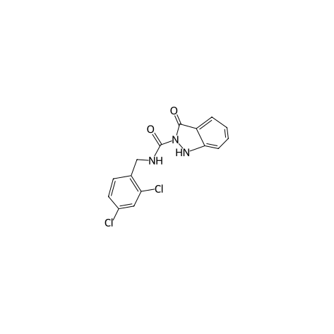 O=C(NCc1ccc(Cl)cc1Cl)n1[nH]c2ccccc2c1=O